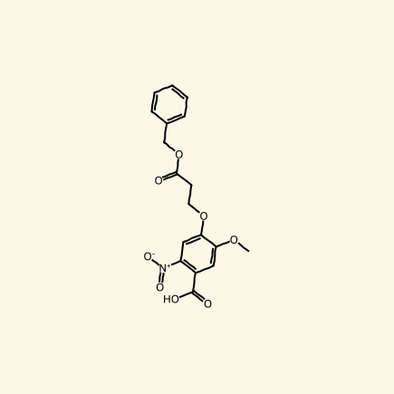 COc1cc(C(=O)O)c([N+](=O)[O-])cc1OCCC(=O)OCc1ccccc1